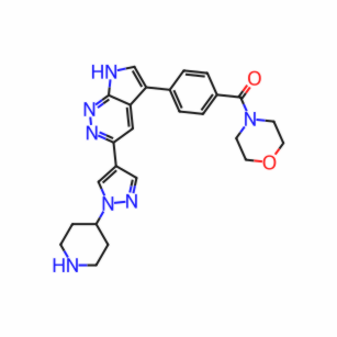 O=C(c1ccc(-c2c[nH]c3nnc(-c4cnn(C5CCNCC5)c4)cc23)cc1)N1CCOCC1